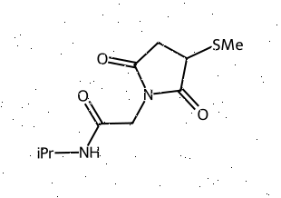 CSC1CC(=O)N(CC(=O)NC(C)C)C1=O